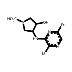 CCc1cnc(CC)c(NC2CN(C(=O)O)CC2O)n1